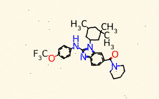 CC1CC(n2c(Nc3ccc(OC(F)(F)F)cc3)nc3ccc(C(=O)N4CCCCC4)cc32)CC(C)(C)C1